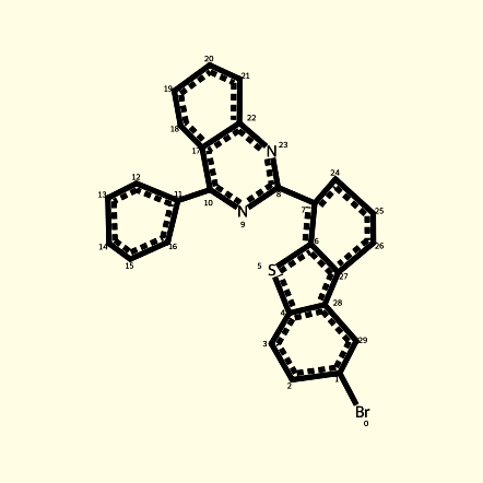 Brc1ccc2sc3c(-c4nc(-c5ccccc5)c5ccccc5n4)cccc3c2c1